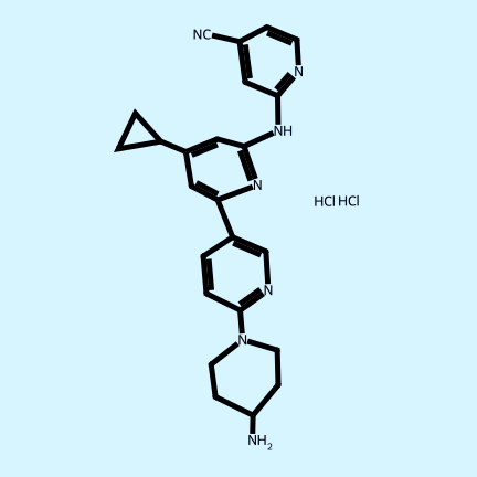 Cl.Cl.N#Cc1ccnc(Nc2cc(C3CC3)cc(-c3ccc(N4CCC(N)CC4)nc3)n2)c1